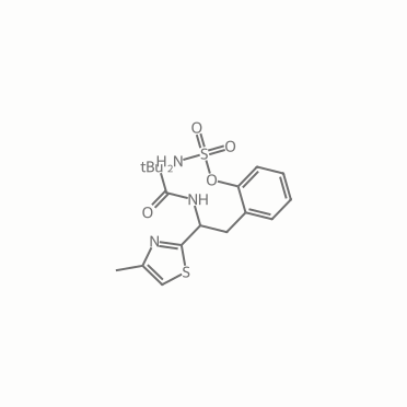 Cc1csc(C(Cc2ccccc2OS(N)(=O)=O)NC(=O)C(C)(C)C)n1